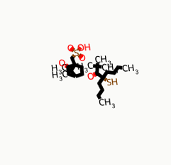 CC1(C)C2CCC1(CS(=O)(=O)O)C(=O)C2.CCCCC(S)(CCCC)C(=O)C(C)(C)C